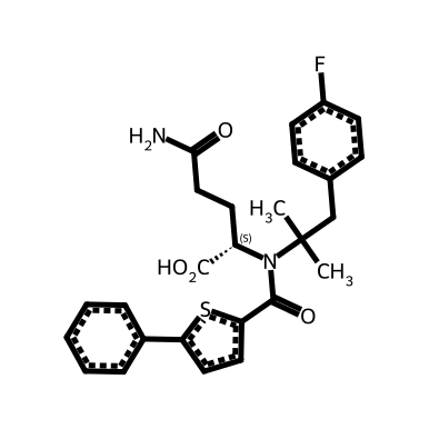 CC(C)(Cc1ccc(F)cc1)N(C(=O)c1ccc(-c2ccccc2)s1)[C@@H](CCC(N)=O)C(=O)O